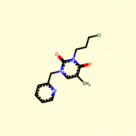 Cc1cn(Cc2ccccn2)c(=O)n(CCCCl)c1=O